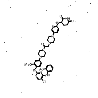 COc1cc(N2CCN(C(=O)CN3CCN(c4ccc(NC5CCC(=O)NC5=O)nc4)CC3)CC2)ccc1Nc1ncc(Cl)c(Nc2ccccc2C(C)=O)n1